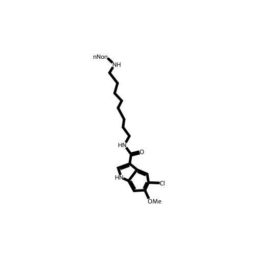 CCCCCCCCCNCCCCCCCCNC(=O)c1c[nH]c2cc(OC)c(Cl)cc12